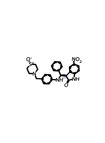 O=C1Nc2ccc([N+](=O)[O-])cc2/C1=C(/Nc1ccc(CN2CC[S+]([O-])CC2)cc1)c1ccccc1